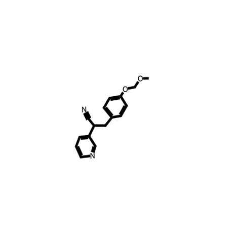 COCOc1ccc(CC(C#N)c2cccnc2)cc1